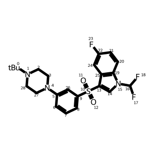 CC(C)(C)N1CCN(c2cccc(S(=O)(=O)c3cn(C(F)F)c4ccc(F)cc34)c2)CC1